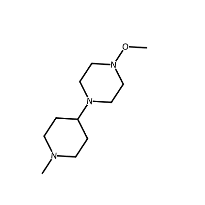 CON1CCN(C2CCN(C)CC2)CC1